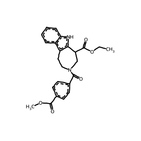 CCOC(=O)C1CN(C(=O)c2ccc(C(=O)OC)cc2)CCc2c1[nH]c1ccccc21